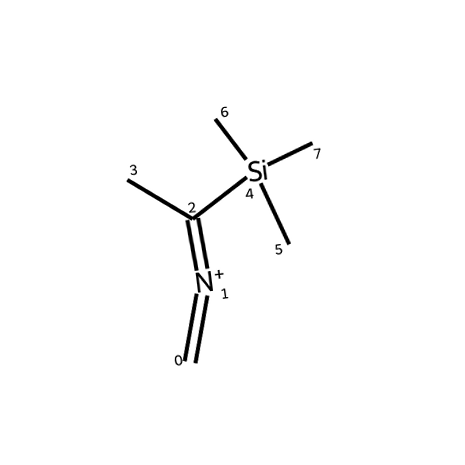 C=[N+]=C(C)[Si](C)(C)C